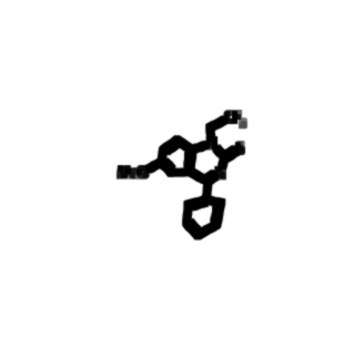 COc1ccc2c(c1)c(-c1ccccc1)nc(=S)n2CC(F)(F)F